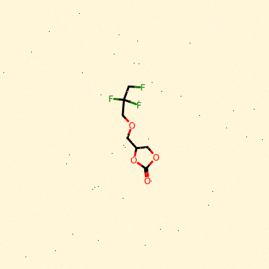 O=C1OCC(COCC(F)(F)CF)O1